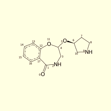 O=C1NCC(O[C@H]2CCNC2)Oc2ccccc21